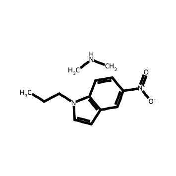 CCCn1ccc2cc([N+](=O)[O-])ccc21.CNC